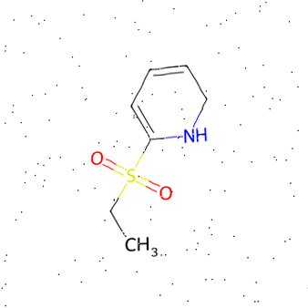 CCS(=O)(=O)C1=CC=CCN1